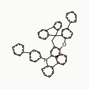 c1ccc(-c2ccc(N(c3ccc4c(c3)CC3(c5cc(-c6ccccc6)ccc5O4)c4ccccc4-c4ccccc43)c3ccccc3-c3ccccc3)cc2)cc1